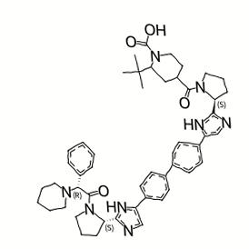 CC(C)(C)C1CC(C(=O)N2CCC[C@H]2c2ncc(-c3ccc(-c4ccc(-c5cnc([C@@H]6CCCN6C(=O)[C@@H](c6ccccc6)N6CCCCC6)[nH]5)cc4)cc3)[nH]2)CCN1C(=O)O